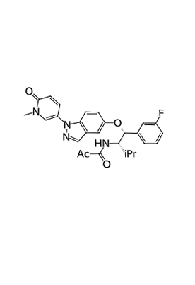 CC(=O)C(=O)N[C@@H](C(C)C)[C@H](Oc1ccc2c(cnn2-c2ccc(=O)n(C)c2)c1)c1cccc(F)c1